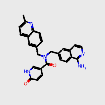 Cc1ccc2cc(CN(Cc3ccc4c(N)nccc4c3)C(=O)c3ccc(=O)[nH]c3)ccc2n1